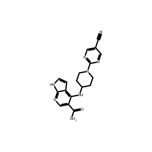 N#Cc1cnc(N2CCC(Nc3c(C(N)=O)cnc4[nH]ccc34)CC2)nc1